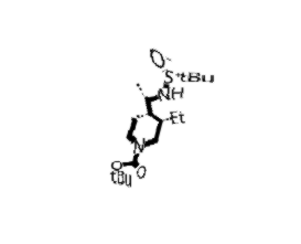 CC[C@@H]1CN(C(=O)OC(C)(C)C)CC[C@@H]1[C@H](C)N[S@+]([O-])C(C)(C)C